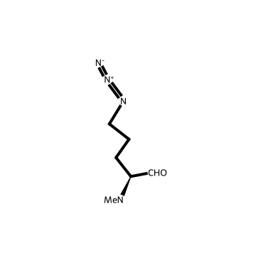 CN[C@H](C=O)CCCN=[N+]=[N-]